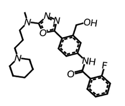 CN(CCCN1CCCCC1)c1nnc(-c2ccc(NC(=O)c3ccccc3F)cc2CO)o1